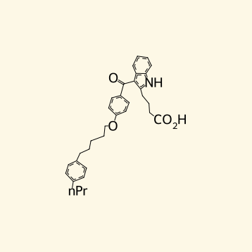 CCCc1ccc(CCCCCOc2ccc(C(=O)c3c(CCCC(=O)O)[nH]c4ccccc34)cc2)cc1